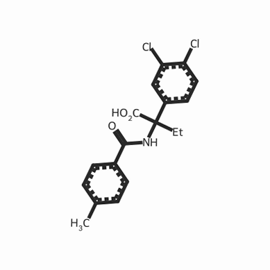 CCC(NC(=O)c1ccc(C)cc1)(C(=O)O)c1ccc(Cl)c(Cl)c1